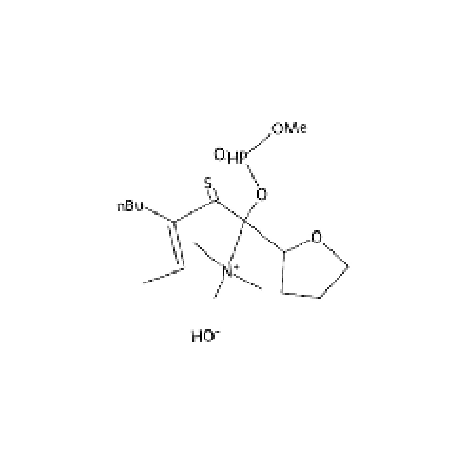 CC=C(CCCC)C(=S)C(O[PH](=O)OC)(C1CCCO1)[N+](C)(C)C.[OH-]